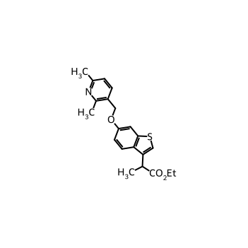 CCOC(=O)C(C)c1csc2cc(OCc3ccc(C)nc3C)ccc12